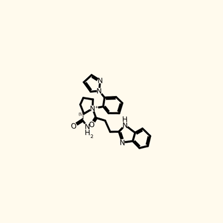 NC(=O)[C@@H]1CCC[N+]1(C(=O)CCc1nc2ccccc2[nH]1)c1ccccc1-n1cccn1